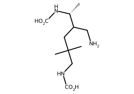 C[C@@H](NC(=O)O)C(CN)CC(C)(C)CNC(=O)O